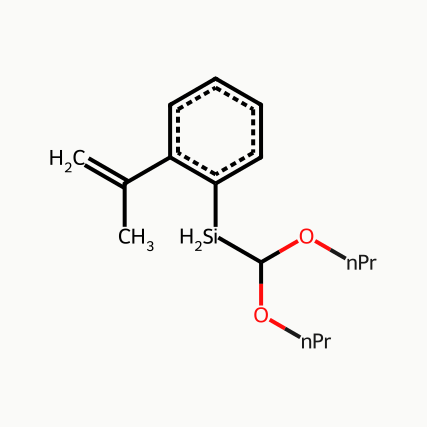 C=C(C)c1ccccc1[SiH2]C(OCCC)OCCC